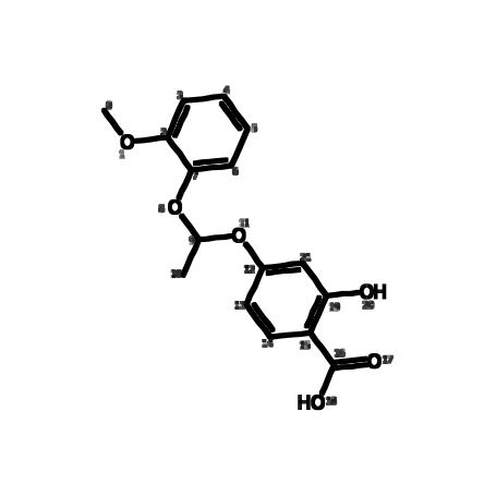 COc1ccccc1OC(C)Oc1ccc(C(=O)O)c(O)c1